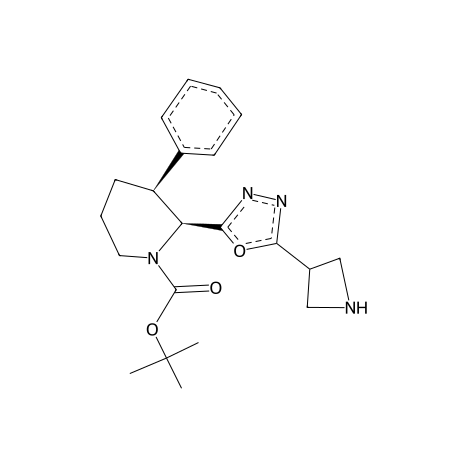 CC(C)(C)OC(=O)N1CCC[C@@H](c2ccccc2)[C@H]1c1nnc(C2CNC2)o1